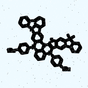 CC(C)(C)c1ccc(N2c3cc4c(cc3B3c5sc6cc7c(cc6c5N(c5ccc(C(C)(C)C)cc5)c5cccc2c53)-c2ccccc2C7(C)C)c2cccc3c5ccccc5n4c32)cc1